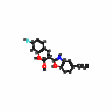 O=C(O)c1ccc2oc(-c3cc4ccc(F)cc4oc3=O)nc2c1